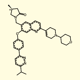 CC(C)c1ccc(-c2ccc(Oc3cc4nc(C5=CCN(C6CCOCC6)CC5)ccc4cc3CN3C[C@@H](C)CC3=O)cc2)nn1